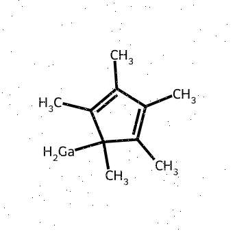 CC1=C(C)[C](C)([GaH2])C(C)=C1C